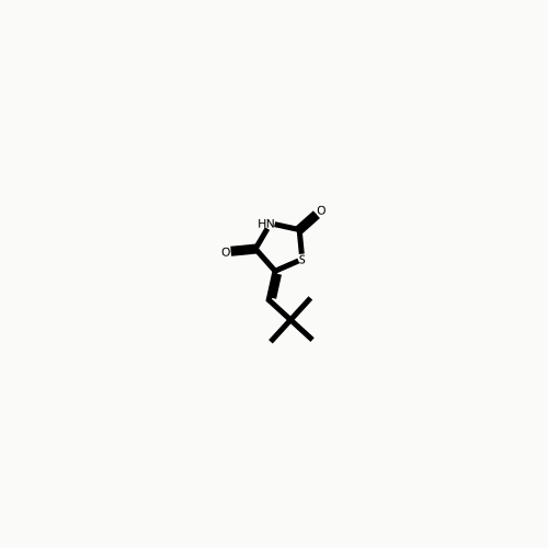 CC(C)(C)/C=C1\SC(=O)NC1=O